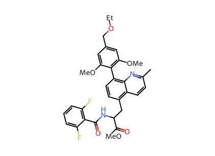 CCOCc1cc(OC)c(-c2ccc(CC(NC(=O)c3c(F)cccc3F)C(=O)OC)c3ccc(C)nc23)c(OC)c1